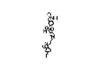 O=C1Cc2cc(S(=O)(=O)NC3CCN(CCCc4noc5cc(F)ccc45)C3)ccc2N1